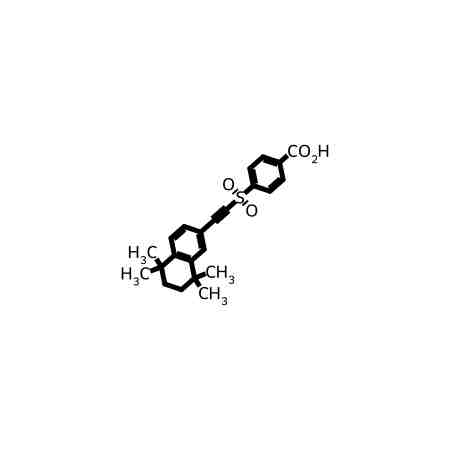 CC1(C)CCC(C)(C)c2cc(C#CS(=O)(=O)c3ccc(C(=O)O)cc3)ccc21